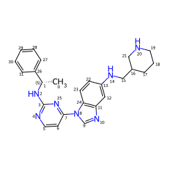 C[C@H](Nc1nccc(-n2cnc3cc(NCC4CCCNC4)ccc32)n1)c1ccccc1